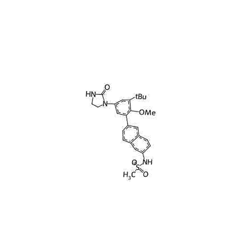 COc1c(-c2ccc3cc(NS(C)(=O)=O)ccc3c2)cc(N2CCNC2=O)cc1C(C)(C)C